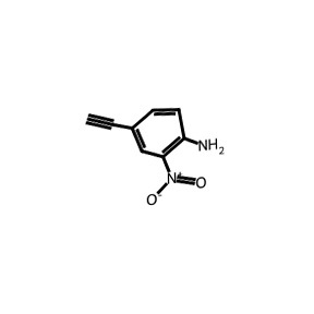 C#Cc1ccc(N)c([N+](=O)[O-])c1